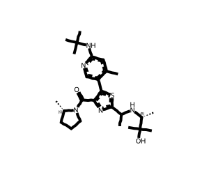 Cc1cc(NC(C)(C)C)ncc1-c1sc(C(C)N[C@H](C)C(C)(C)O)nc1C(=O)N1CCC[C@@H]1C